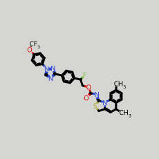 Cc1ccc2c(c1)N1C(=CC2C)CS/C1=N\C(=O)OCC(F)c1ccc(-c2ncn(-c3ccc(OC(F)(F)F)cc3)n2)cc1